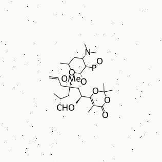 C=CC[C@](C[C@@H](C)C=O)(OC)[C@H](O[C@@H]1OC(C)CC(N(C)C)C1P=O)[C@H](C)C1=C(C)C(=O)OC(C)(C)O1